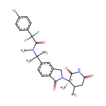 BC1CC(=O)NC(=O)[C@]1(B)N1Cc2cc(C(B)(B)N(B)C(=O)C(F)(F)c3ccc(Cl)cc3)ccc2C1=O